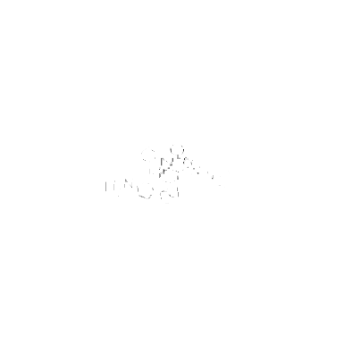 C=CC(=O)N1CCN(c2nc(=O)n(-c3ccccc3C(C)C)c3cc(-c4cc(N)ccc4Cl)c(Cl)cc23)[C@@H](C)C1